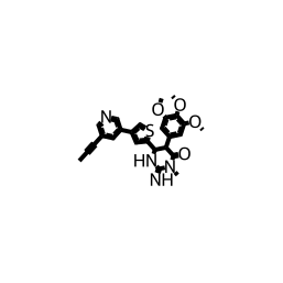 CC#Cc1cncc(-c2csc(C3NC(=N)N(C)C(=O)C3c3cc(OC)c(OC)c(OC)c3)c2)c1